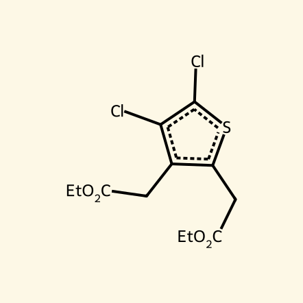 CCOC(=O)Cc1sc(Cl)c(Cl)c1CC(=O)OCC